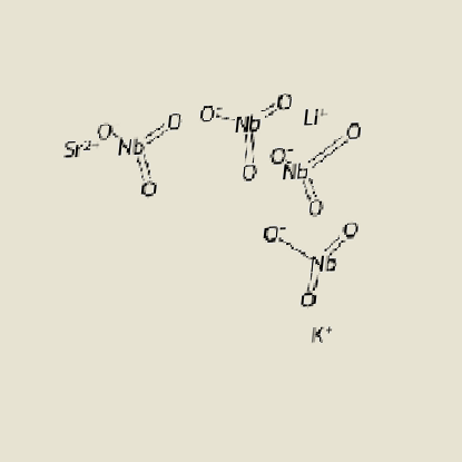 [K+].[Li+].[O]=[Nb](=[O])[O-].[O]=[Nb](=[O])[O-].[O]=[Nb](=[O])[O-].[O]=[Nb](=[O])[O-].[Sr+2]